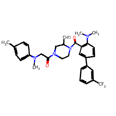 Cc1ccc(N(C)CC(=O)N2CCN(C(=O)c3cc(-c4cccc(C(F)(F)F)c4)ccc3N(C)C)C(C=O)C2)cc1